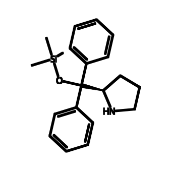 C[Si](C)(C)OC(c1ccccc1)(c1ccccc1)[C@H]1CCCN1